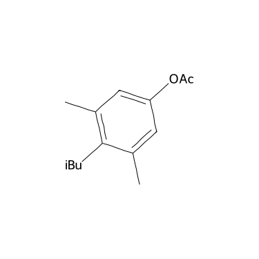 CCC(C)c1c(C)cc(OC(C)=O)cc1C